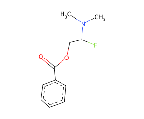 CN(C)C(F)COC(=O)c1ccccc1